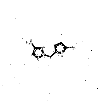 CC(=O)c1ccc(Cn2ncc(N)n2)s1